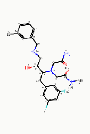 CCCN(CCC)C(=O)CN(CC(N)=O)[C@@H](Cc1cc(F)cc(F)c1)[C@H](O)CNCc1cccc(CC)c1